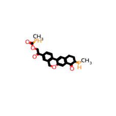 CPC(=O)OCC(=O)c1ccc2c(c1)COc1cc3c(cc1-2)CCC(PC)C3=O